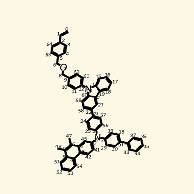 C=Cc1ccc(COCc2ccc(-n3c4ccccc4c4cc(-c5ccc(N(c6ccc(-c7ccccc7)cc6)c6ccc7c(c6)c(C)c(C)c6ccccc67)cc5)ccc43)cc2)cc1